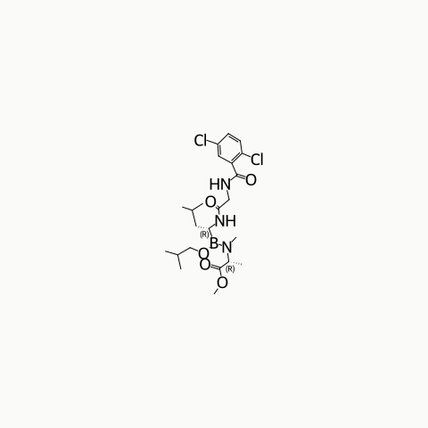 COC(=O)[C@@H](C)N(C)B(OCC(C)C)[C@H](CC(C)C)NC(=O)CNC(=O)c1cc(Cl)ccc1Cl